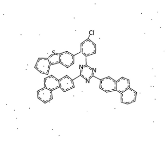 Clc1ccc(-c2nc(-c3ccc4c(ccc5ccccc54)c3)nc(-c3ccc4c(ccc5ccccc54)c3)n2)c(-c2ccc3c(c2)sc2ccccc23)c1